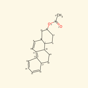 CC(=O)OC1CCC2C(C=CC3=C4C=CC=CC4CCC32)C1